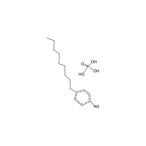 CCCCCCCCCc1cc[c]([Nd])cc1.O=P(O)(O)O